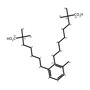 Cc1cccc(CCCCCC(C)(C)C(=O)O)c1CCCCCCC(C)(C)C(=O)O